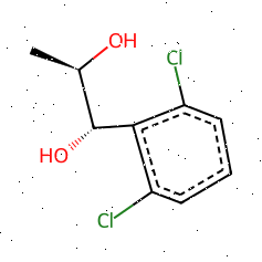 C[C@@H](O)[C@@H](O)c1c(Cl)cccc1Cl